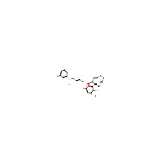 O=C(O)C1C2CCCN2C2(C(=O)Nc3c(Cl)cc(Cl)cc32)C1C(=O)OCC=CCNc1cc(Cl)cc(Cl)c1